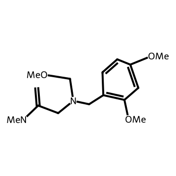 C=C(CN(COC)Cc1ccc(OC)cc1OC)NC